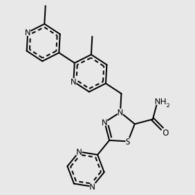 Cc1cc(-c2ncc(CN3N=C(c4cnccn4)SC3C(N)=O)cc2C)ccn1